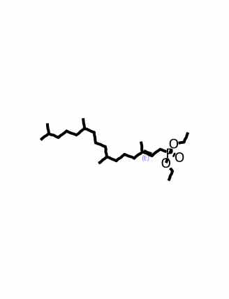 CCOP(=O)(C/C=C(\C)CCCC(C)CCCC(C)CCCC(C)C)OCC